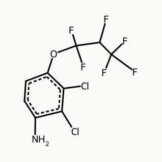 Nc1ccc(OC(F)(F)C(F)C(F)(F)F)c(Cl)c1Cl